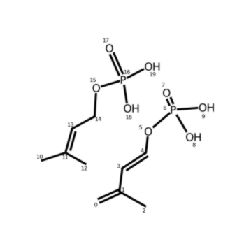 C=C(C)C=COP(=O)(O)O.CC(C)=CCOP(=O)(O)O